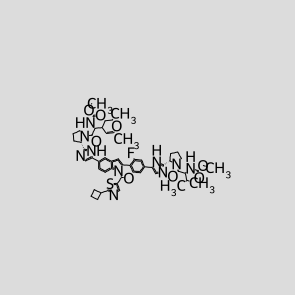 COC(=O)NC(C(=O)N1CCC[C@H]1c1ncc(-c2cc(F)c3c(c2)OC(c2cnc(C4CCC4)s2)n2c-3cc3cc(-c4cnc([C@@H]5CCCN5C(=O)C(NC(=O)OC)C5C=C(C)O[C@@H](C)C5)[nH]4)ccc32)[nH]1)C(C)C